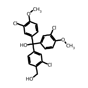 COc1ccc(C(O)(c2ccc(CO)c(Cl)c2)c2ccc(OC)c(Cl)c2)cc1Cl